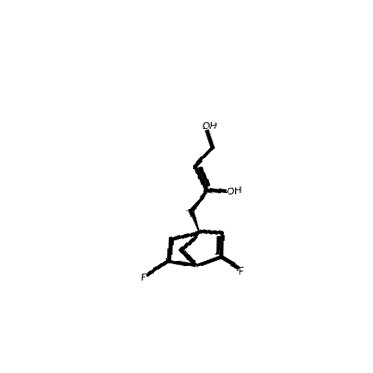 OC/C=C(\O)C[C@@]12C=C(F)C(C1)C(F)C2